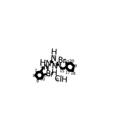 Cl.N=C(NN=Cc1ccccc1Br)NN=Cc1ccccc1Br